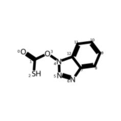 O=C(S)On1nnc2ccccc21